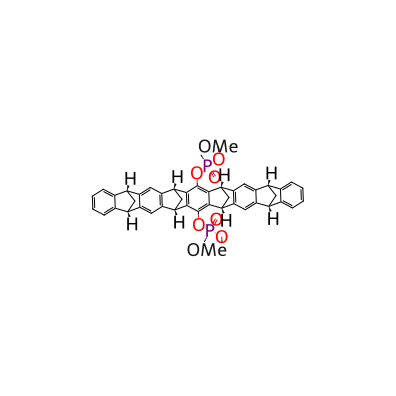 COOP(C)(=O)Oc1c2c(c(OP(C)(=O)OOC)c3c1[C@H]1C[C@@H]3c3cc4c(cc31)[C@H]1C[C@@H]4c3ccccc31)[C@H]1C[C@@H]2c2cc3c(cc21)[C@H]1C[C@@H]3c2ccccc21